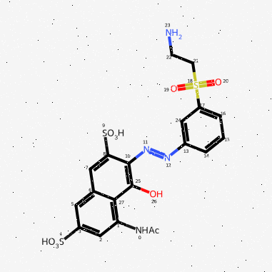 CC(=O)Nc1cc(S(=O)(=O)O)cc2cc(S(=O)(=O)O)c(N=Nc3cccc(S(=O)(=O)CCN)c3)c(O)c12